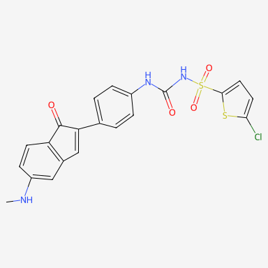 CNc1ccc2c(c1)C=C(c1ccc(NC(=O)NS(=O)(=O)c3ccc(Cl)s3)cc1)C2=O